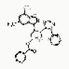 CC(c1ncnn1-c1ncccn1)N(CCOC(=O)c1ccccc1)c1noc2c(C(F)(F)F)cc(C(F)(F)F)cc12